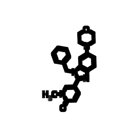 Cn1cc(-c2nc3ccc(N4CCOCC4)cc3n2Cc2ccccc2)ccc1=O